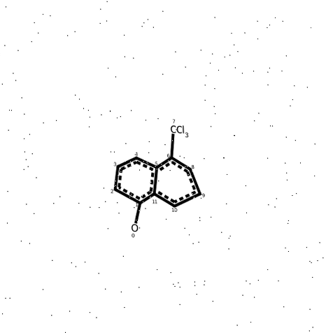 [O]c1cccc2c(C(Cl)(Cl)Cl)cccc12